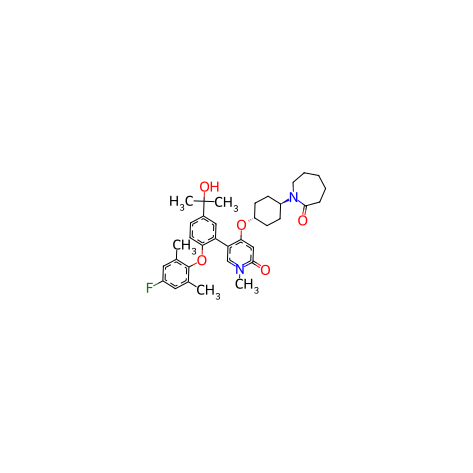 Cc1cc(F)cc(C)c1Oc1ccc(C(C)(C)O)cc1-c1cn(C)c(=O)cc1O[C@H]1CC[C@H](N2CCCCCC2=O)CC1